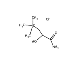 C[N+](C)(C)CC(O)C(N)=O.[Cl-]